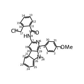 COc1ccc(-c2nc(NC(=O)c3ccccc3CCl)cc3c4ccccc4n(C)c23)cc1